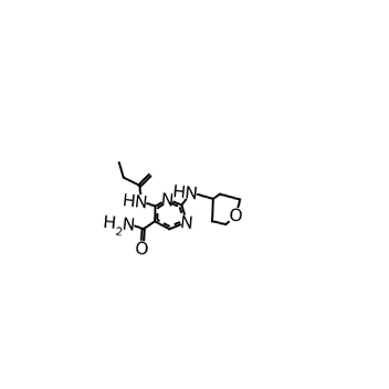 C=C(CC)Nc1nc(NC2CCOCC2)ncc1C(N)=O